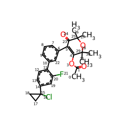 CC(=O)OC1=C(c2cccc(-c3ccc(C4(Cl)CC4)cc3F)c2)C(=O)C(C)(C)OC1(C)C